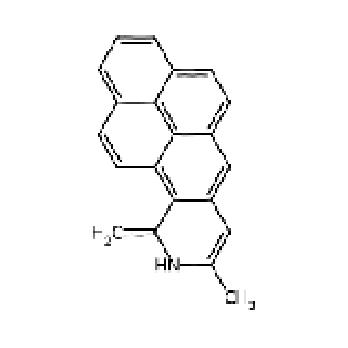 C=C1NC(C)=Cc2cc3ccc4cccc5ccc(c21)c3c45